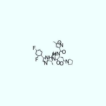 Cc1cc(C(=O)N[C@@H](CC(=O)N2CCCC2)C(=O)N[C@@H](C)c2ncc(-c3ccc(F)cc3F)[nH]2)no1